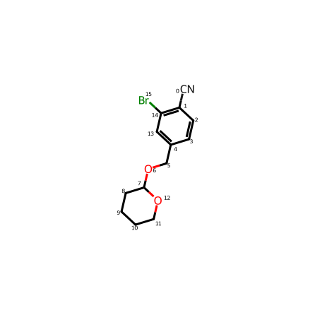 N#Cc1ccc(COC2CCCCO2)cc1Br